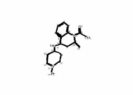 CCC(=O)N1c2ccccc2C(NC2CCN(C(C)C)CC2)CC1C